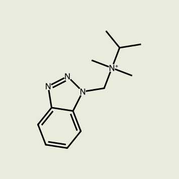 CC(C)[N+](C)(C)Cn1nnc2ccccc21